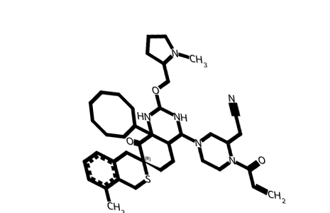 C=CC(=O)N1CCN(C2NC(OCC3CCCN3C)NC3(C4CCCCCCC4)C(=O)[C@@]4(CCC23)Cc2cccc(C)c2CS4)CC1CC#N